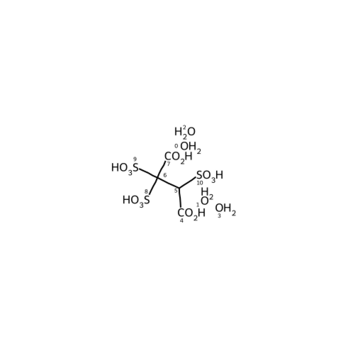 O.O.O.O.O=C(O)C(C(C(=O)O)(S(=O)(=O)O)S(=O)(=O)O)S(=O)(=O)O